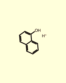 Oc1cccc2ccccc12.[H+]